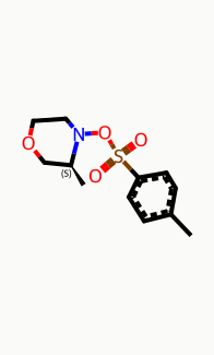 Cc1ccc(S(=O)(=O)ON2CCOC[C@@H]2C)cc1